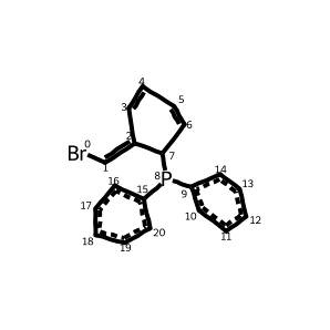 BrC=C1C=CC=CC1P(c1ccccc1)c1ccccc1